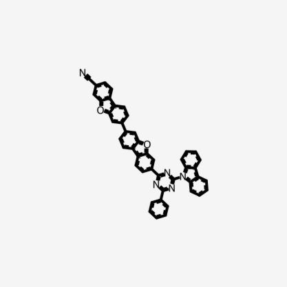 N#Cc1ccc2c(c1)oc1cc(-c3ccc4c(c3)oc3cc(-c5nc(-c6ccccc6)nc(-n6c7ccccc7c7ccccc76)n5)ccc34)ccc12